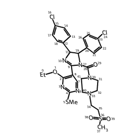 CCOc1nc(SC)ncc1C1=NC(c2ccc(Cl)cc2)C(c2ccc(Cl)cc2)N1C(=O)N1CCN(CCS(C)(=O)=O)CC1